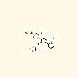 CCOc1ncccc1-c1ccc(N2CCN(C(=O)OC(C)(C)C)C[C@H]2CC)c(C(=O)N[C@@H]2CCN(C)C2)n1